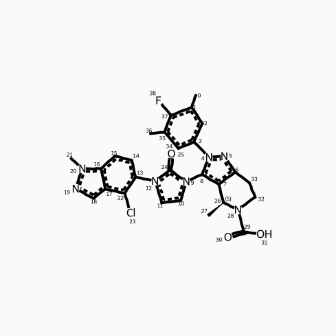 Cc1cc(-n2nc3c(c2-n2ccn(-c4ccc5c(cnn5C)c4Cl)c2=O)[C@H](C)N(C(=O)O)CC3)cc(C)c1F